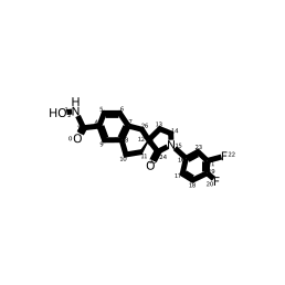 O=C(NO)c1ccc2c(c1)CC[C@]1(CCN(c3ccc(F)c(F)c3)C1=O)C2